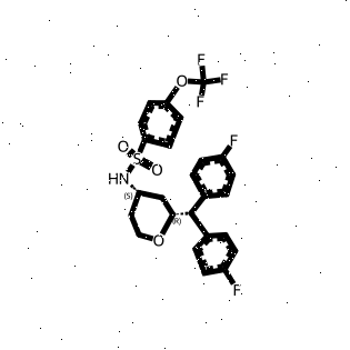 O=S(=O)(N[C@H]1CCO[C@@H](C(c2ccc(F)cc2)c2ccc(F)cc2)C1)c1ccc(OC(F)(F)F)cc1